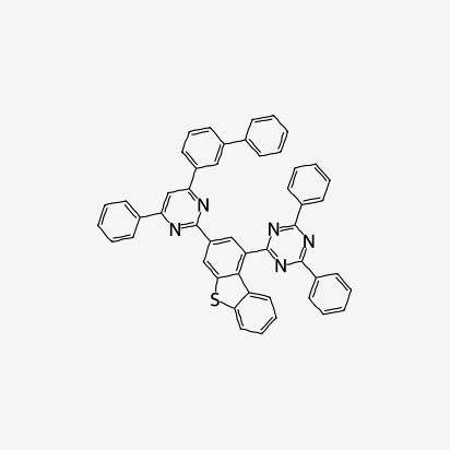 c1ccc(-c2cccc(-c3cc(-c4ccccc4)nc(-c4cc(-c5nc(-c6ccccc6)nc(-c6ccccc6)n5)c5c(c4)sc4ccccc45)n3)c2)cc1